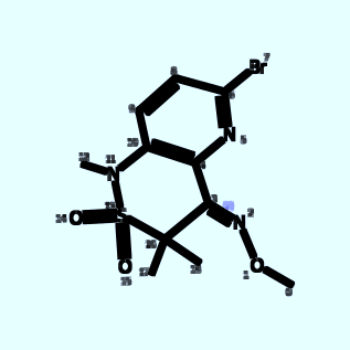 CO/N=C1/c2nc(Br)ccc2N(C)S(=O)(=O)C1(C)C